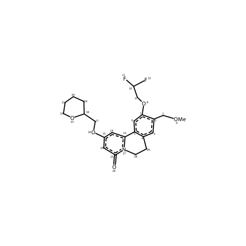 COCc1cc2c(cc1OCC(F)F)-c1cc(OCC3CCCCO3)cc(=O)n1CC2